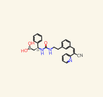 N#CC(=Cc1cccc(CCNC(=O)N[C@@H](CB(O)O)c2ccccc2)c1)c1ccccn1